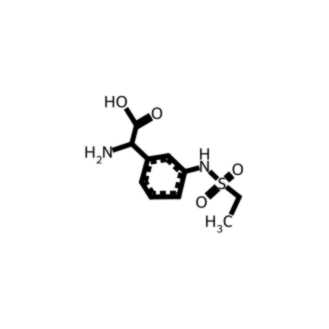 CCS(=O)(=O)Nc1cccc(C(N)C(=O)O)c1